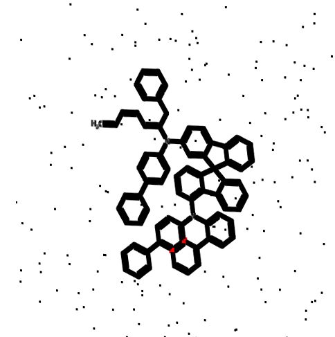 C=C/C=C\C=C(/Cc1ccccc1)N(c1ccc(-c2ccccc2)cc1)c1ccc2c(c1)C1(c3ccccc3-2)c2ccccc2-c2c(N(c3ccc(-c4ccccc4)cc3)c3ccccc3-c3ccccc3)cccc21